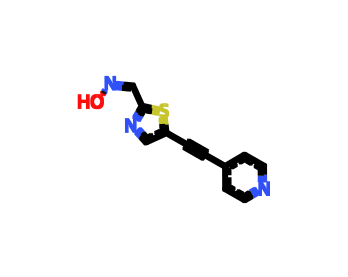 O/N=C\c1ncc(C#Cc2ccncc2)s1